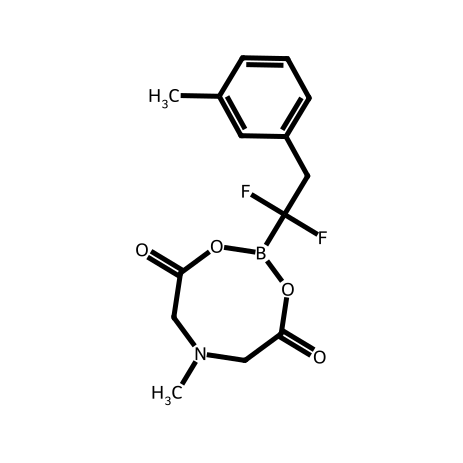 Cc1cccc(CC(F)(F)B2OC(=O)CN(C)CC(=O)O2)c1